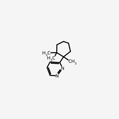 CC1(C)CCCCC1(C)c1cccnn1